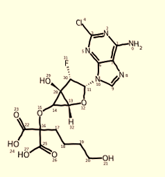 Nc1nc(Cl)nc2c1ncn2[C@@H]1O[C@@H]2C(OC(CCCCO)(C(=O)O)C(=O)O)[C@]2(O)[C@@H]1F